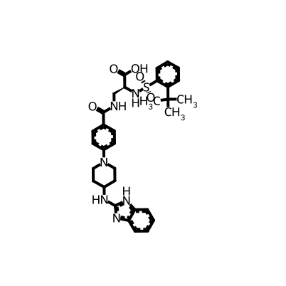 CC(C)(C)c1ccccc1S(=O)(=O)N[C@@H](CNC(=O)c1ccc(N2CCC(Nc3nc4ccccc4[nH]3)CC2)cc1)C(=O)O